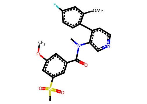 COc1cc(F)ccc1-c1ccncc1N(C)C(=O)c1cc(OC(F)(F)F)cc(S(C)(=O)=O)c1